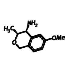 COc1ccc2c(c1)[C@H](N)[C@H](C)OC2